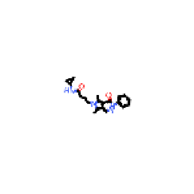 Cc1c2cnn(-c3ccccc3)c(=O)c2c(C)n1CCCC(=O)NC1CC1